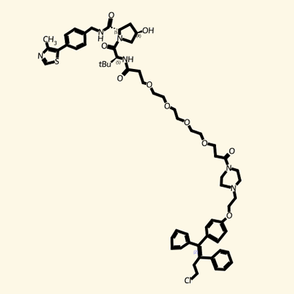 Cc1ncsc1-c1ccc(CNC(=O)[C@@H]2C[C@@H](O)CN2C(=O)[C@@H](NC(=O)CCOCCOCCOCCOCCC(=O)N2CCN(CCOc3ccc(/C(=C(/CCCl)c4ccccc4)c4ccccc4)cc3)CC2)C(C)(C)C)cc1